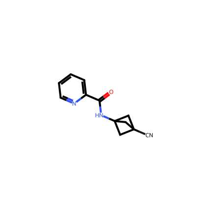 N#CC12CC(NC(=O)c3ccccn3)(C1)C2